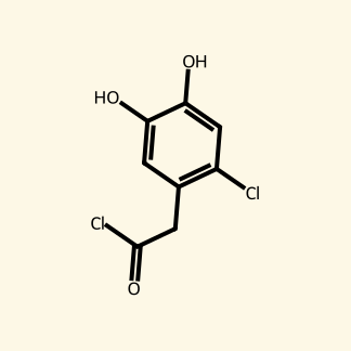 O=C(Cl)Cc1cc(O)c(O)cc1Cl